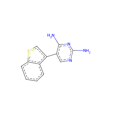 Nc1ncc(-c2csc3ccccc23)c(N)n1